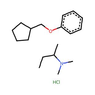 CCC(C)N(C)C.Cl.c1ccc(OCC2CCCC2)cc1